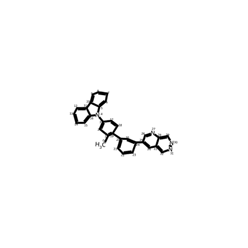 Cc1cc(-n2c3ccccc3c3ccccc32)ccc1-c1cccc(-c2cnc3cnncc3c2)c1